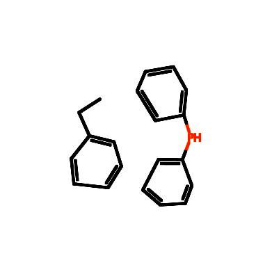 CCc1ccccc1.c1ccc(Pc2ccccc2)cc1